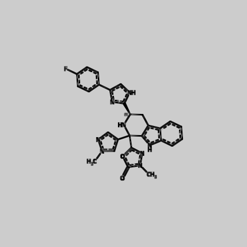 Cn1cc(C2(c3nn(C)c(=O)o3)N[C@@H](c3nc(-c4ccc(F)cc4)c[nH]3)Cc3c2[nH]c2ccccc32)cn1